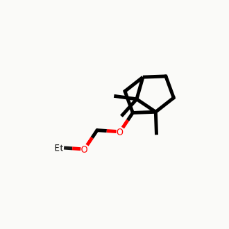 CCOCOC1CC2CCC1(C)C2(C)C